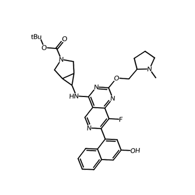 CN1CCCC1COc1nc(NC2C3CN(C(=O)OC(C)(C)C)CC32)c2cnc(-c3cc(O)cc4ccccc34)c(F)c2n1